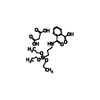 CCO[Si](CCCNC(=O)c1ccccc1C(=O)O)(OCC)OCC.O=C(O)CC(=O)O